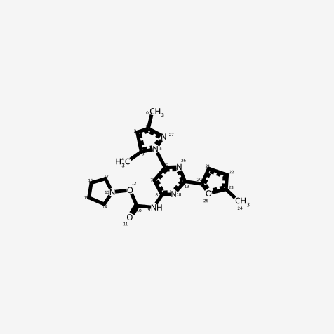 Cc1cc(C)n(-c2cc(NC(=O)ON3CCCC3)nc(-c3ccc(C)o3)n2)n1